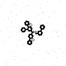 C1=CCC(C2C=C(C(NCC3=CC=CC(c4ccccc4)C3)C3=CC4Oc5ccccc5C4C=C3)C=C3Oc4ccccc4C32)C=C1